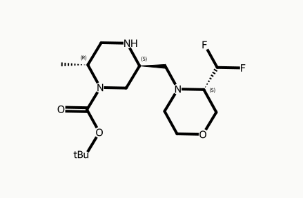 C[C@@H]1CN[C@@H](CN2CCOC[C@H]2C(F)F)CN1C(=O)OC(C)(C)C